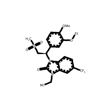 CCOc1cc([C@H](CS(C)(=O)=O)n2c(=O)n(CC#N)c3cc(C(F)(F)F)ccc32)ccc1OC